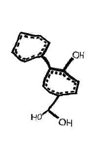 Oc1ccc(C(O)O)cc1-c1ccccc1